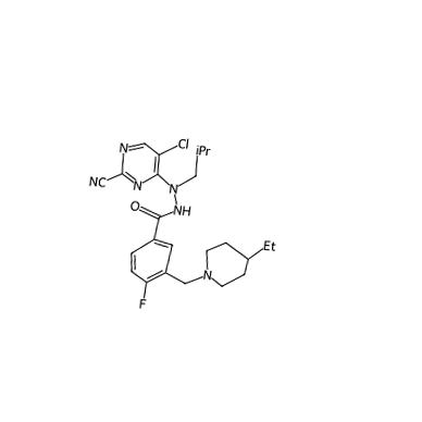 CCC1CCN(Cc2cc(C(=O)NN(CC(C)C)c3nc(C#N)ncc3Cl)ccc2F)CC1